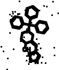 OC1CCN(C(c2ccccc2)(c2ccccc2)c2ccccc2)CC1=Cc1cnsn1